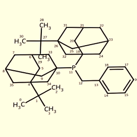 CC(C)(C)C12CC3CC(CC(P(Cc4ccccc4)C45CC6CC(C4)CC(C(C)(C)C)(C6)C5)(C3)C1)C2